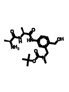 C[C@H](N)C(=O)N[C@@H](C)C(=O)Nc1ccc(CO)c(CN(C)C(=O)OC(C)(C)C)c1